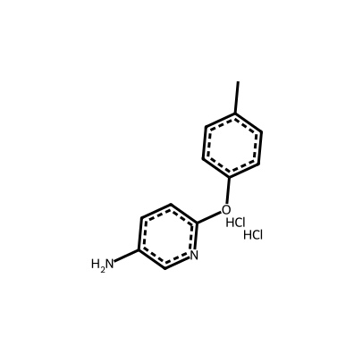 Cc1ccc(Oc2ccc(N)cn2)cc1.Cl.Cl